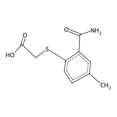 Cc1ccc(SCC(=O)O)c(C(N)=O)c1